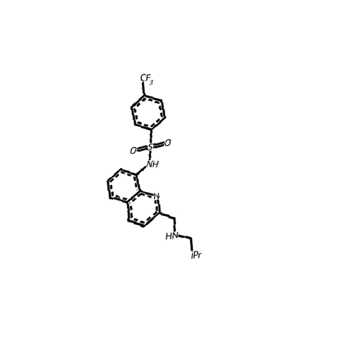 CC(C)CNCc1ccc2cccc(NS(=O)(=O)c3ccc(C(F)(F)F)cc3)c2n1